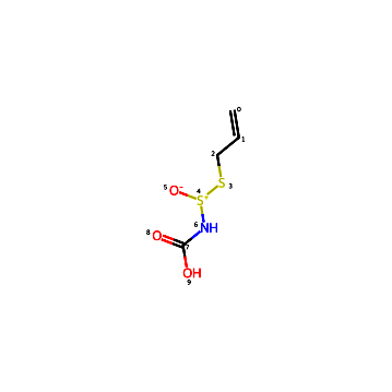 C=CCS[S+]([O-])NC(=O)O